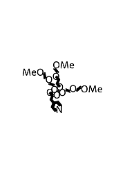 COCCOCCOC(OCCOCCOC)(OCCOCCOC)OC(=O)Cc1ccncc1